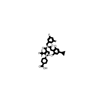 O=C(O)C1CCC(n2ncc(C(=O)N(Cc3cc(F)cc(F)c3)C(=O)Cc3c(Cl)cc(C4CC4)cc3Cl)c2C(F)(F)F)CC1